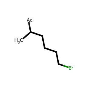 CC(=O)C(C)CCCCBr